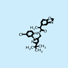 CC(C(=O)NCc1cc(C(C)(C)C)nn1-c1cccc(Cl)c1)c1ccc2ocnc2c1